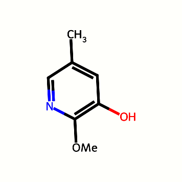 COc1ncc(C)cc1O